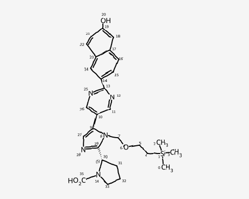 C[Si](C)(C)CCOCn1c(-c2cnc(-c3ccc4cc(O)ccc4c3)nc2)cnc1[C@@H]1CCCN1C(=O)O